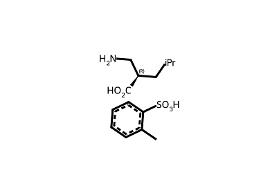 CC(C)C[C@H](CN)C(=O)O.Cc1ccccc1S(=O)(=O)O